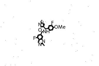 COc1ccc([C@H](NC(=O)c2cc(F)c3cnc(C)nc3c2)c2cnn(C)c2)cc1F